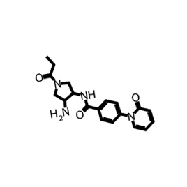 CCC(=O)N1CC(N)C(NC(=O)c2ccc(-n3ccccc3=O)cc2)C1